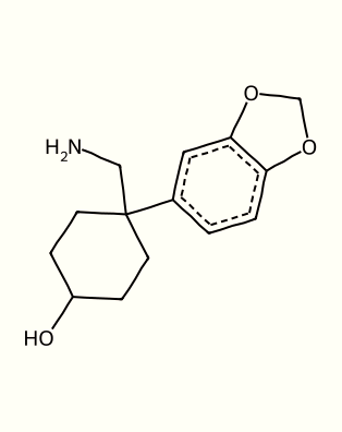 NCC1(c2ccc3c(c2)OCO3)CCC(O)CC1